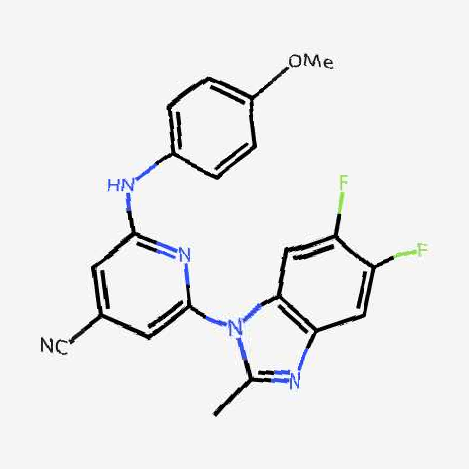 COc1ccc(Nc2cc(C#N)cc(-n3c(C)nc4cc(F)c(F)cc43)n2)cc1